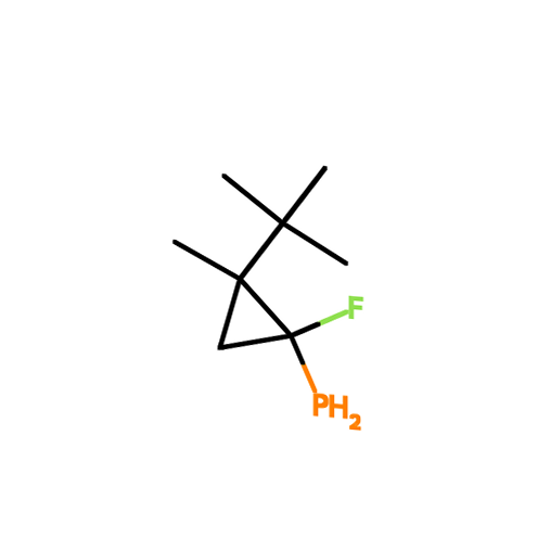 CC(C)(C)C1(C)CC1(F)P